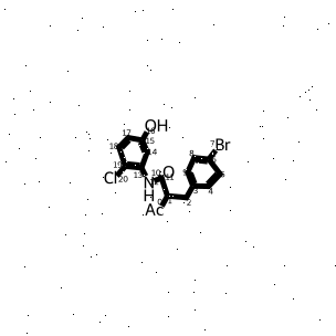 CC(=O)C(Cc1ccc(Br)cc1)C(=O)Nc1cc(O)ccc1Cl